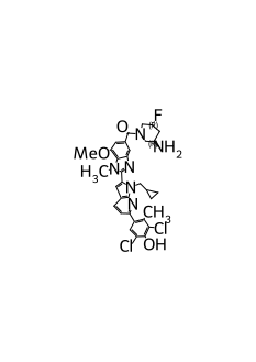 COc1cc(C(=O)N2C[C@H](N)C[C@@H](F)C2)cc2nc(-c3cc4ccc(-c5cc(Cl)c(O)c(Cl)c5C)nc4n3CC3CC3)n(C)c12